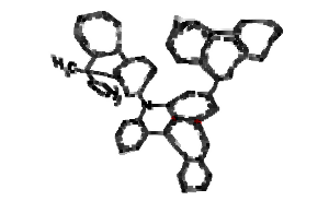 CC1(C)c2ccccc2-c2ccc(N(c3cccc(-c4cc5ccccc5c5ccccc45)c3)c3ccccc3-c3cccc4ccccc34)cc21